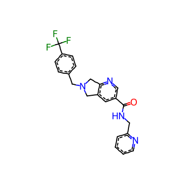 O=C(NCc1ccccn1)c1cnc2c(c1)CN(Cc1ccc(C(F)(F)F)cc1)C2